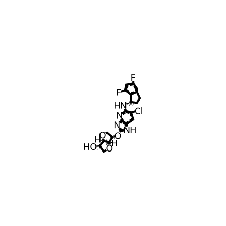 O[C@@H]1CO[C@H]2[C@@H]1OC[C@H]2Oc1nc2nc(N[C@@H]3CCc4cc(F)cc(F)c43)c(Cl)cc2[nH]1